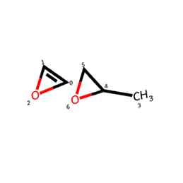 C1=CO1.CC1CO1